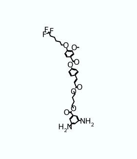 COc1cc(C(=O)Oc2ccc(/C=C/C(=O)OCCCCOC(=O)c3cc(N)cc(N)c3)cc2)ccc1OCCCCCC(F)(F)F